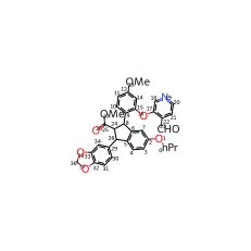 CCCOc1ccc2c(c1)C(c1ccc(OC)cc1Oc1cnccc1C=O)C(C(=O)OC)C2c1ccc2c(c1)OCO2